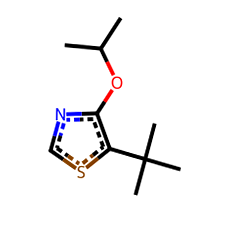 CC(C)Oc1ncsc1C(C)(C)C